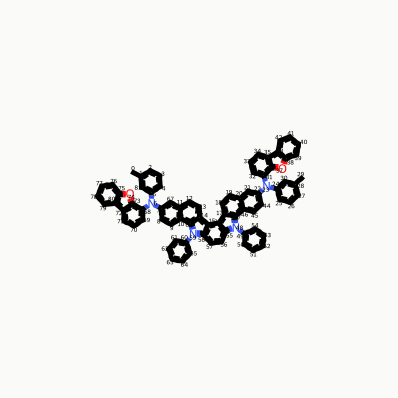 Cc1cccc(N(c2ccc3c(ccc4c5c6c7ccc8cc(N(c9cccc(C)c9)c9cccc%10c9oc9ccccc9%10)ccc8c7n(-c7ccccc7)c6ccc5n(-c5ccccc5)c34)c2)c2cccc3c2oc2ccccc23)c1